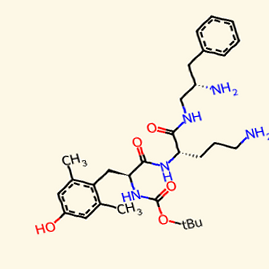 Cc1cc(O)cc(C)c1C[C@H](NC(=O)OC(C)(C)C)C(=O)N[C@@H](CCCN)C(=O)NC[C@@H](N)Cc1ccccc1